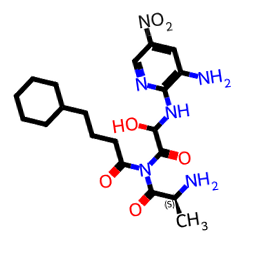 C[C@H](N)C(=O)N(C(=O)CCCC1CCCCC1)C(=O)C(O)Nc1ncc([N+](=O)[O-])cc1N